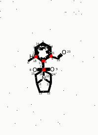 Cc1ccccc1S(=O)(=O)N1C2CCC1CN(c1[nH]nnc1C=O)C2